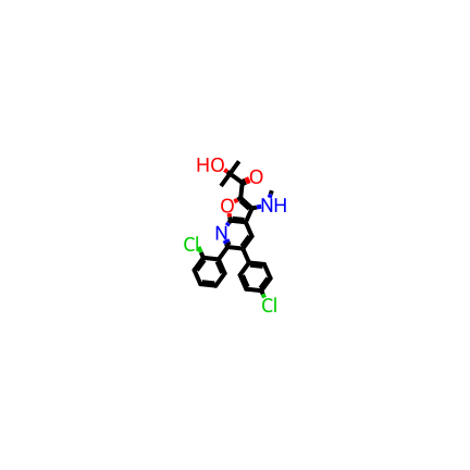 CNc1c(C(=O)C(C)(C)O)oc2nc(-c3ccccc3Cl)c(-c3ccc(Cl)cc3)cc12